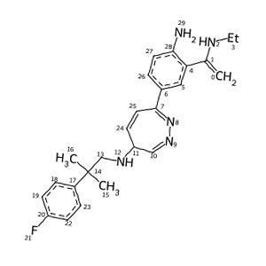 C=C(NCC)c1cc(C2=NN=CC(NCC(C)(C)c3ccc(F)cc3)C=C2)ccc1N